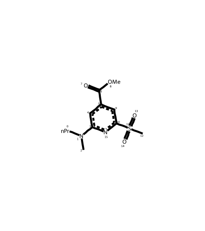 CCCN(C)c1cc(C(=O)OC)cc(S(C)(=O)=O)n1